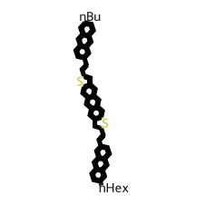 CCCCCCc1ccc2cc3cc(/C=C/C4Cc5cc6cc7cc8sc(/C=C/c9ccc%10cc%11cc(CCCC)ccc%11cc%10c9)cc8cc7cc6cc5S4)ccc3cc2c1